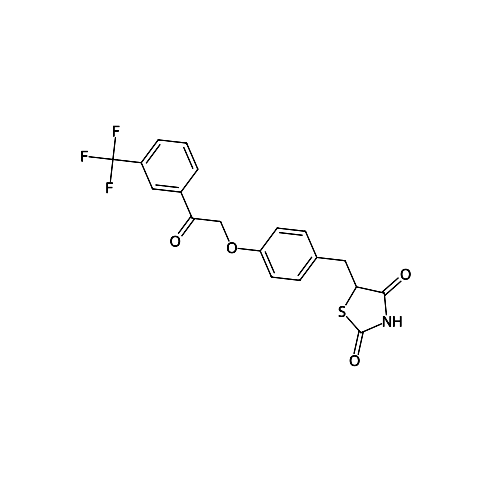 O=C1NC(=O)C(Cc2ccc(OCC(=O)c3cccc(C(F)(F)F)c3)cc2)S1